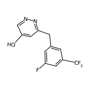 Oc1cnnc(Cc2cc(F)cc(C(F)(F)F)c2)c1